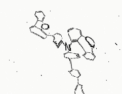 C1=CC(c2ccccc2)CC=C1c1ccc(N(c2ccc(-c3cccc4c3oc3ccccc34)cc2)c2cccc3oc4ccccc4c23)cc1